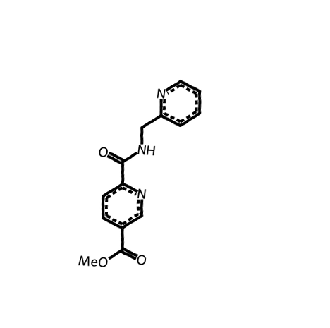 COC(=O)c1ccc(C(=O)NCc2ccccn2)nc1